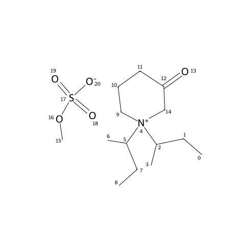 CCC(C)[N+]1(C(C)CC)CCCC(=O)C1.COS(=O)(=O)[O-]